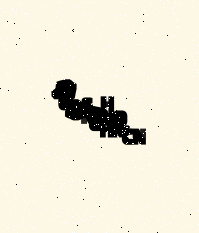 Cc1ccccc1Oc1ccc2nc(CC(=O)NCC(=O)NCC#N)sc2c1